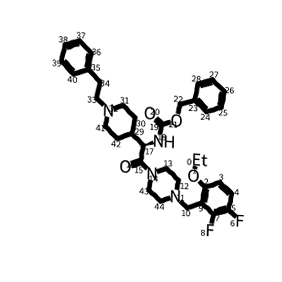 CCOc1ccc(F)c(F)c1CN1CCN(C(=O)[C@H](NC(=O)OCc2ccccc2)C2CCN(CCc3ccccc3)CC2)CC1